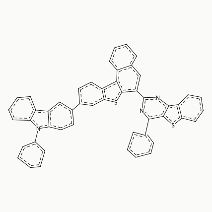 c1ccc(-c2nc(-c3cc4ccccc4c4c3sc3cc(-c5ccc6c(c5)c5ccccc5n6-c5ccccc5)ccc34)nc3c2sc2ccccc23)cc1